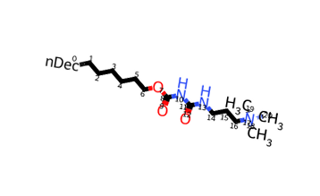 CCCCCCCCCCCCCCCCOC(=O)NC(=O)NCCC[N+](C)(C)C